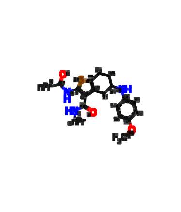 CCCNC(=O)c1c(NC(=O)CCC)sc2c1CC(Nc1ccc(OC(F)(F)F)cc1)CC2